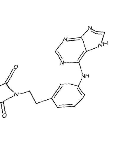 O=C1CCC(=O)N1CCc1cccc(Nc2ncnc3nc[nH]c23)c1